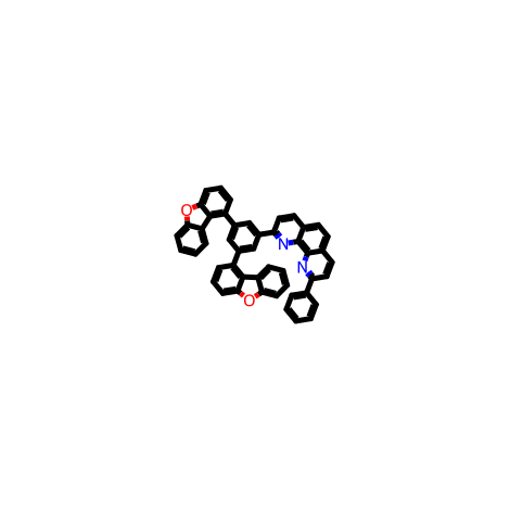 c1ccc(-c2ccc3ccc4ccc(-c5cc(-c6cccc7oc8ccccc8c67)cc(-c6cccc7oc8ccccc8c67)c5)nc4c3n2)cc1